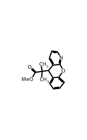 COC(=O)C(C)(C)C1c2ccccc2Oc2ncccc21